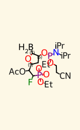 B[C@@H]1O[C@H](C(OC(C)=O)C(F)P(=O)(OCC)OCC)C[C@@H]1OP(OCCC#N)N(C(C)C)C(C)C